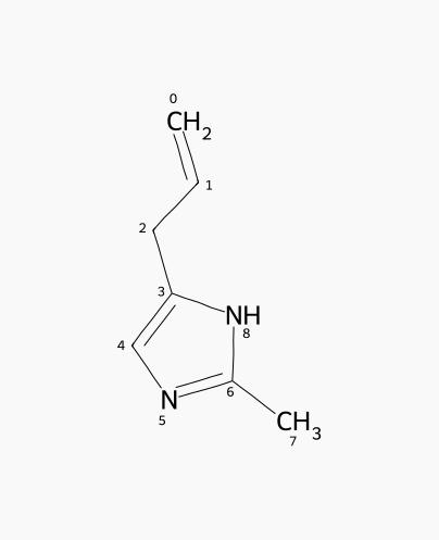 C=CCc1cnc(C)[nH]1